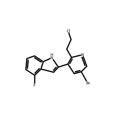 Fc1cccc2[nH]c(-c3cc(Br)cnc3CCCl)cc12